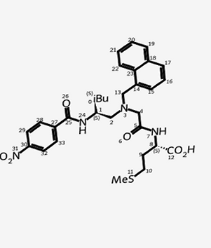 CC[C@H](C)[C@@H](CN(CC(=O)N[C@@H](CCSC)C(=O)O)Cc1cccc2ccccc12)NC(=O)c1ccc([N+](=O)[O-])cc1